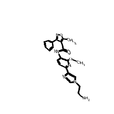 COc1nc(-c2cn(CCN)cn2)ccc1NC(=O)c1c(-c2ccccc2)noc1C